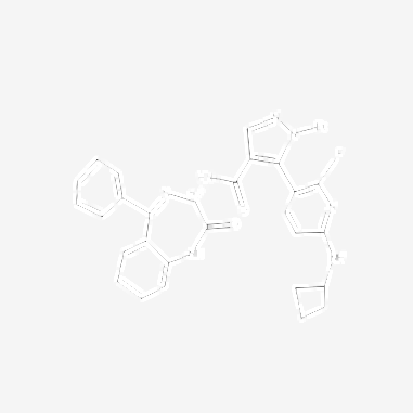 CCn1ncc(C(=O)N[C@H]2N=C(c3ccccc3)c3ccccc3NC2=O)c1-c1ccc(NC2CCC2)nc1F